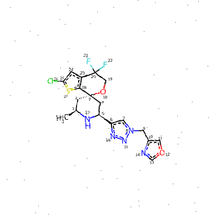 C[C@H]1C[C@@]2(C[C@@H](c3cn(Cc4cocn4)nn3)N1)OCC(F)(F)c1cc(Cl)sc12